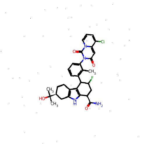 Cc1c(C2c3c([nH]c4c3CC[C@H](C(C)(C)O)C4)C(C(N)=O)CC2F)cccc1-n1c(=O)cc2c(Cl)cccn2c1=O